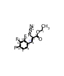 CCOC(=O)/C(=C/c1ccc(F)c(F)c1F)N=[N+]=[N-]